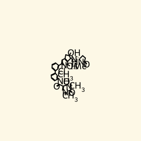 COc1nc(-c2cccc(-c3cccc(NC(=O)c4cn(C)c(=O)n(C)c4=O)c3C)c2Cl)cc2c1C(NC[C@@H]1CCC(=O)N1)C(O)C2